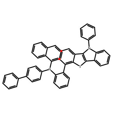 c1ccc(-c2ccc(N(c3ccccc3-c3cccc4c3sc3c5ccccc5n(-c5ccccc5)c43)c3cccc4ccccc34)cc2)cc1